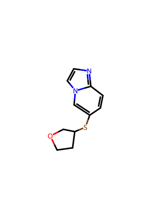 c1cn2cc(SC3CCOC3)ccc2n1